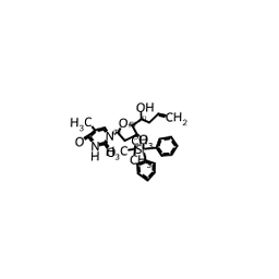 C=CC[C@H](O)[C@H]1O[C@@H](n2cc(C)c(=O)[nH]c2=O)C[C@@H]1O[Si](c1ccccc1)(c1ccccc1)C(C)(C)C